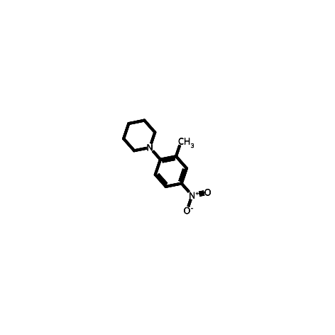 Cc1cc([N+](=O)[O-])ccc1N1CCCCC1